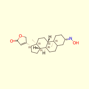 C[C@]12CC[C@H]3[C@@H](CCC4CC(=NO)CC[C@@]43C)[C@@H]1CC[C@@H]2C1=CC(=O)OC1